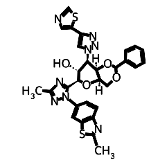 Cc1nc([C@@H]2O[C@@H]3COC(c4ccccc4)O[C@@H]3[C@H](n3cc(-c4cncs4)nn3)[C@H]2O)n(-c2ccc3nc(C)sc3c2)n1